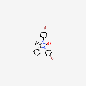 C[C@H]1[C@H](c2ccccc2)N(c2ccc(Br)cc2)C(=O)N1c1ccc(Br)cc1